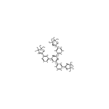 CC1(C)N=C(c2cccc(-c3cc(-c4cccc(C5=NC(C)(C)C(C)(C)O5)c4)nc(-c4cccc(C5=NC(C)(C)C(C)(C)O5)c4)n3)c2)OC1(C)C